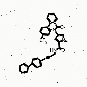 Cn1cc(NC(=O)c2ccccc2-c2ccc(C(F)(F)F)cc2)cc1C(=O)NCC#Cc1ccc(-c2ccccc2)cc1